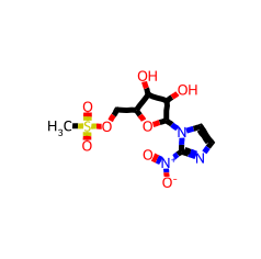 CS(=O)(=O)OCC1OC(n2ccnc2[N+](=O)[O-])C(O)C1O